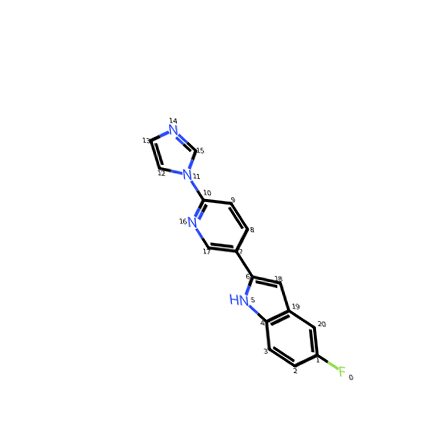 Fc1ccc2[nH]c(-c3ccc(-n4ccnc4)nc3)cc2c1